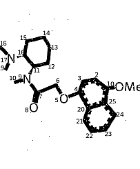 COc1ccc(OCC(=O)N(C)[C@@H]2CCCC[C@H]2N(C)C)c2ccccc12